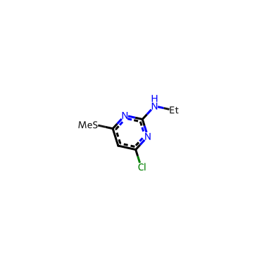 CCNc1nc(Cl)cc(SC)n1